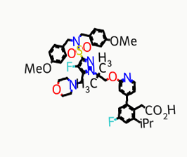 COc1ccc(CN(Cc2ccc(OC)cc2)S(=O)(=O)c2nn(C(C)(C)COc3cc(-c4cc(F)cc(C(C)C)c4CC(=O)O)ccn3)c(CN3CCOCC3)c2F)cc1